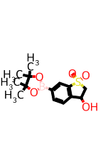 CC1(C)OB(c2ccc3c(c2)S(=O)(=O)CC3O)OC1(C)C